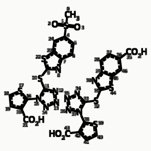 CS(=O)(=O)c1ccc2nc(Sc3nnnn3-c3sccc3C(=O)O)sc2c1.O=C(O)c1ccc2nc(Sc3nnnn3-c3sccc3C(=O)O)sc2c1